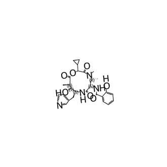 C[C@@H]1[C@H](NC(=O)c2ccccc2O)C(=O)N[C@@H](Cc2cccnc2)[C@@H](O)[C@@H](C)C(=O)OC(C2CC2)C(=O)N1C